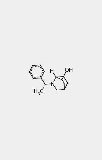 C[C@H](c1ccccc1)N1CC2CC[C@@H]1C(O)C2